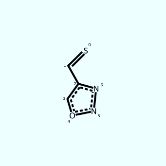 S=Cc1conn1